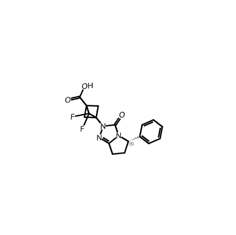 O=C(O)C12CC(n3nc4n(c3=O)[C@H](c3ccccc3)CC4)(C1)C2(F)F